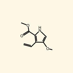 C=Cc1c(OC)c[nH]c1C(=O)OC